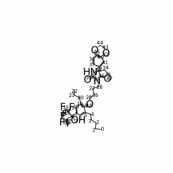 CCCCCc1cc(C(O)(C(F)(F)F)C(F)(F)F)cc(CCC)c1OCCCCN1C(=O)NC(CC)(c2ccc3c(c2)OCCO3)C1=O